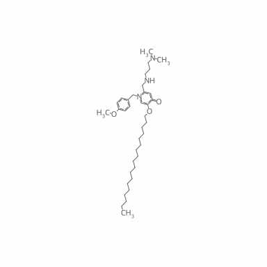 CCCCCCCCCCCCCCCCCCOc1cn(Cc2ccc(OC)cc2)c(CNCCCN(C)C)cc1=O